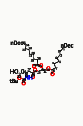 CCCCCCCCCCCCCCCCCC(=O)OCC(COC(=O)CC(NC(=O)OC(C)(C)C)C(=O)O)OC(=O)CCCCCCCCCCCCCCCCC